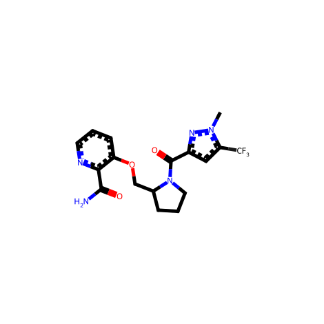 Cn1nc(C(=O)N2CCCC2COc2cccnc2C(N)=O)cc1C(F)(F)F